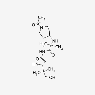 C[S+]([O-])N1CCC(NC(C)(C)C(=O)NC2=CC(C(C)(C)CO)NO2)CC1